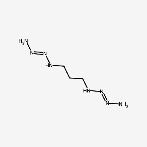 NN=NNCCCNN=NN